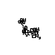 CC[C@@H](C(=O)O)C(C)(C)COS(=O)(=O)CCCS(=O)(=O)O